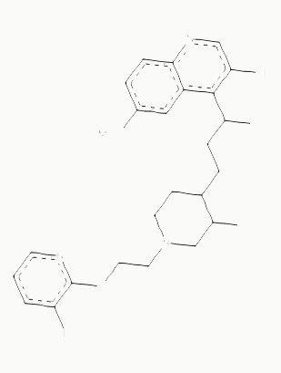 COc1ccc2ncc(Cl)c(C(F)CCC3CCN(CCSc4ncccc4F)CC3C(=O)O)c2c1